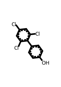 Oc1ccc(-c2c(Cl)cc(Cl)cc2Cl)cc1